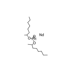 CCCCCCC(C)O[PH](=O)OC(C)CCCCCC.[Nd]